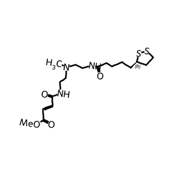 COC(=O)C=CC(=O)NCCN(C)CCNC(=O)CCCC[C@@H]1CCSS1